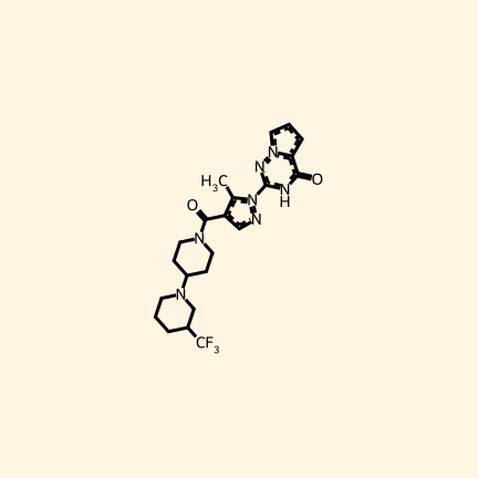 Cc1c(C(=O)N2CCC(N3CCCC(C(F)(F)F)C3)CC2)cnn1-c1nn2cccc2c(=O)[nH]1